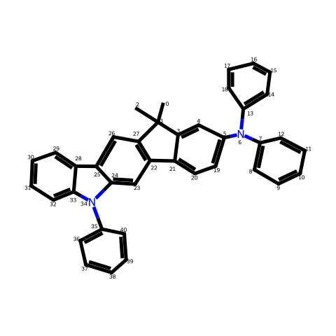 CC1(C)c2cc(N(c3ccccc3)c3ccccc3)ccc2-c2cc3c(cc21)c1ccccc1n3-c1ccccc1